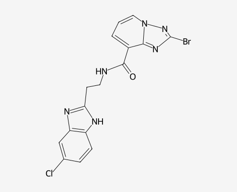 O=C(NCCc1nc2cc(Cl)ccc2[nH]1)c1cccn2nc(Br)nc12